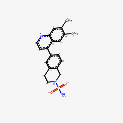 COc1cc2nccc(-c3ccc4c(c3)CCN(S(N)(=O)=O)C4)c2cc1OC